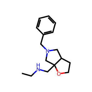 CCNCC12CN(Cc3ccccc3)CC1CCO2